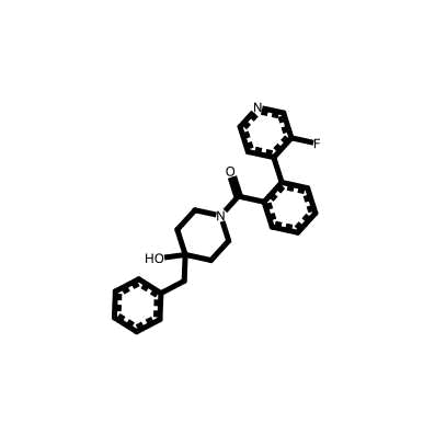 O=C(c1ccccc1-c1ccncc1F)N1CCC(O)(Cc2ccccc2)CC1